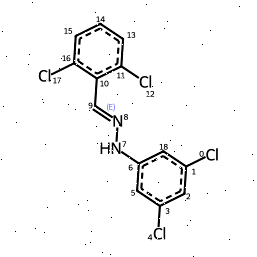 Clc1cc(Cl)cc(N/N=C/c2c(Cl)cccc2Cl)c1